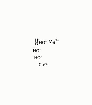 [Co+2].[Mg+2].[OH-].[OH-].[OH-].[OH-]